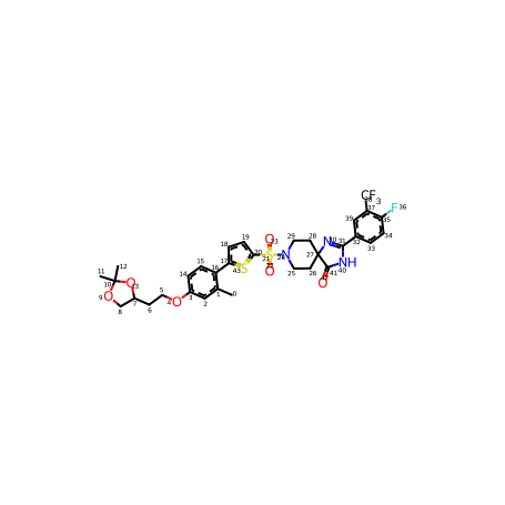 Cc1cc(OCCC2COC(C)(C)O2)ccc1-c1ccc(S(=O)(=O)N2CCC3(CC2)N=C(c2ccc(F)c(C(F)(F)F)c2)NC3=O)s1